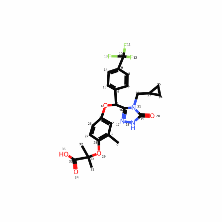 Cc1cc(OC(c2ccc(C(F)(F)F)cc2)c2n[nH]c(=O)n2CC2CC2)ccc1OC(C)(C)C(=O)O